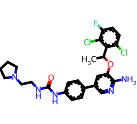 CC(Oc1cc(-c2ccc(NC(=O)NCCN3CCCC3)cc2)cnc1N)c1c(Cl)ccc(F)c1Cl